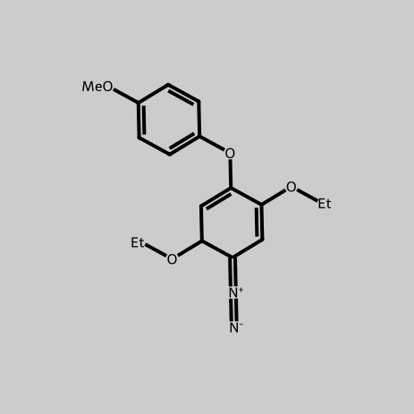 CCOC1=CC(=[N+]=[N-])C(OCC)C=C1Oc1ccc(OC)cc1